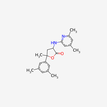 Cc1cc(C)cc(C2(C)CC(Nc3cc(C)cc(C)n3)C(=O)O2)c1